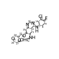 O=CNc1cc2c(Nc3ccc(F)c(Cl)c3)ncnc2cc1OCC1COCCO1